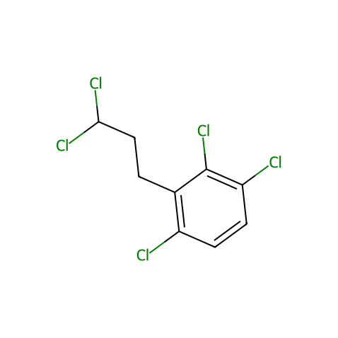 Clc1ccc(Cl)c(CCC(Cl)Cl)c1Cl